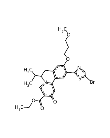 CCOC(=O)c1cn2c(cc1=O)-c1cc(-c3ncc(Br)s3)c(OCCCOC)cc1CC2C(C)C